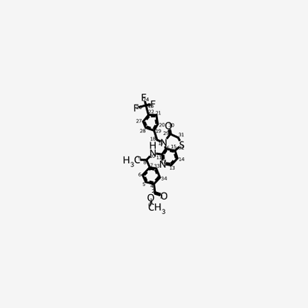 COC(=O)c1ccc(C(C)Nc2nccc3c2N(Cc2ccc(C(F)(F)F)cc2)C(=O)CS3)cc1